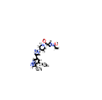 C=CC(=O)N1CC(C(=O)N2CCC(n3cc(-c4cc(OCC(C)C)c5c(C#N)cnn5c4)cn3)CC2)C1